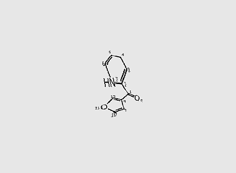 O=C(C1=CCC=CN1)c1ccoc1